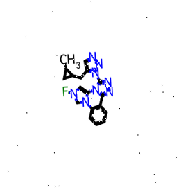 CC1CC1Cc1cnnn1-c1nnc2n1C1=CN(F)CN1c1ccccc1-2